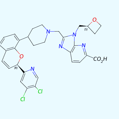 O=C(O)c1ccc2nc(CN3CCC(c4cccc5c4O[C@@H](c4cc(Cl)c(Cl)cn4)C=C5)CC3)n(C[C@@H]3CCO3)c2n1